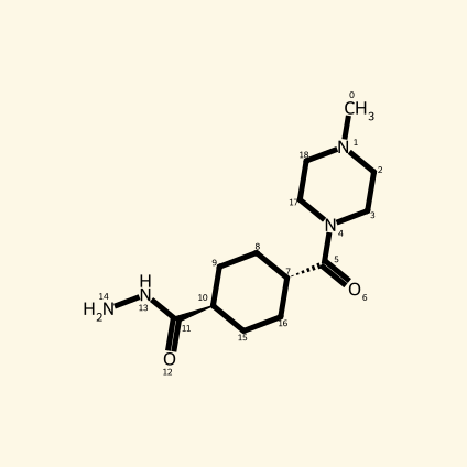 CN1CCN(C(=O)[C@H]2CC[C@H](C(=O)NN)CC2)CC1